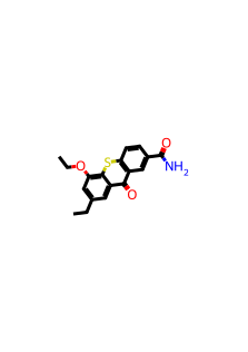 CCOc1cc(CC)cc2c(=O)c3cc(C(N)=O)ccc3sc12